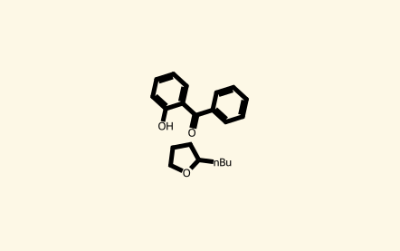 CCCCC1CCCO1.O=C(c1ccccc1)c1ccccc1O